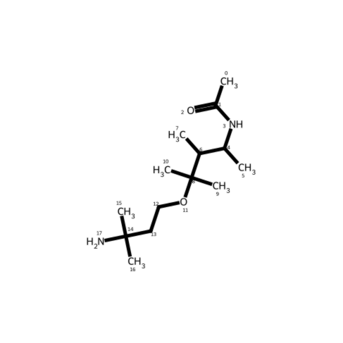 CC(=O)NC(C)C(C)C(C)(C)OCCC(C)(C)N